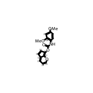 COc1ccc(NC(=O)Oc2ccc3cccoc2-3)c(OC)c1